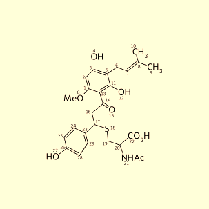 COc1cc(O)c(CC=C(C)C)c(O)c1C(=O)CC(SCC(NC(C)=O)C(=O)O)c1ccc(O)cc1